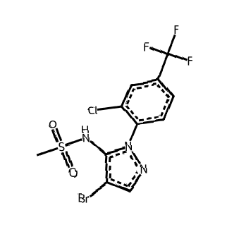 CS(=O)(=O)Nc1c(Br)cnn1-c1ccc(C(F)(F)F)cc1Cl